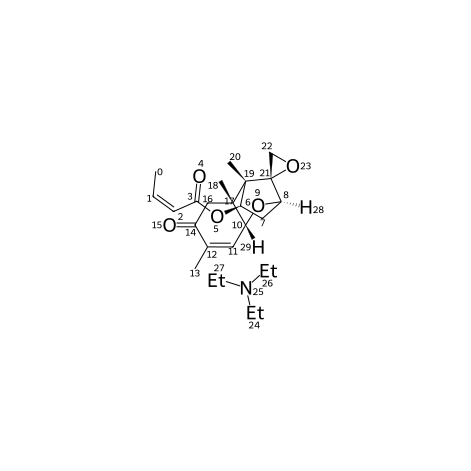 C/C=C\C(=O)O[C@@H]1C[C@H]2O[C@@H]3C=C(C)C(=O)C[C@]3(C)[C@]1(C)[C@@]21CO1.CCN(CC)CC